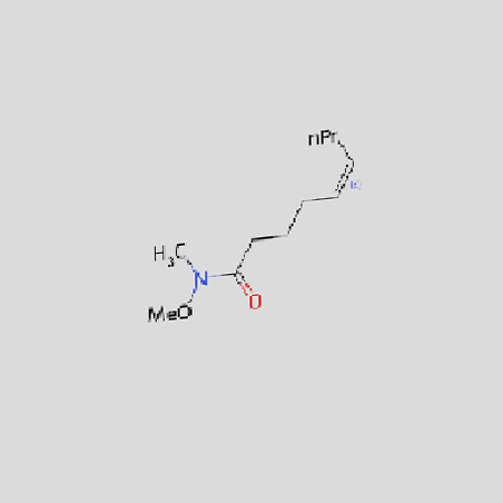 CCC/C=C\CCCC(=O)N(C)OC